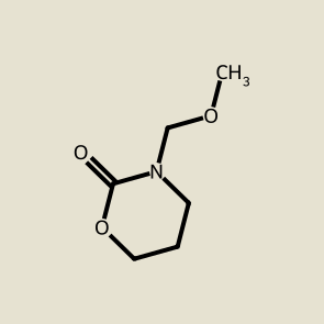 COCN1CCCOC1=O